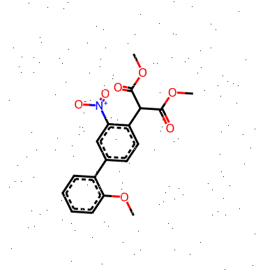 COC(=O)C(C(=O)OC)c1ccc(-c2ccccc2OC)cc1[N+](=O)[O-]